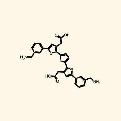 NCc1cccc(-c2cc(CC(=O)O)c(-c3ccc(-c4sc(-c5cccc(CN)c5)cc4CC(=O)O)s3)s2)c1